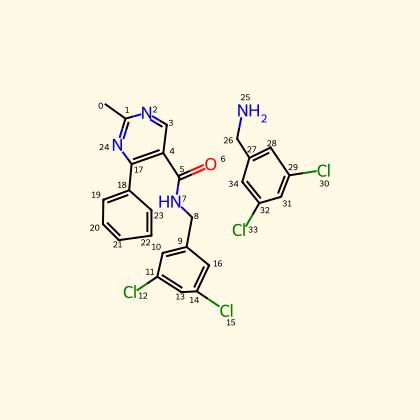 Cc1ncc(C(=O)NCc2cc(Cl)cc(Cl)c2)c(-c2ccccc2)n1.NCc1cc(Cl)cc(Cl)c1